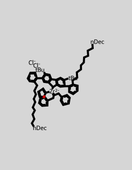 CCCCCCCCCCCCCCCCCCCCc1ccccc1-c1cc2c(cc1C(C)(C)C)-c1cc(C(C)(C)C)c(-c3ccccc3CCCCCCCCCCCCCCCCCCCC)cc1[CH]2[Zr-2]([C]1=CC=CC1)=[C](Cc1ccccc1)Cc1ccccc1.[Cl-].[Cl-]